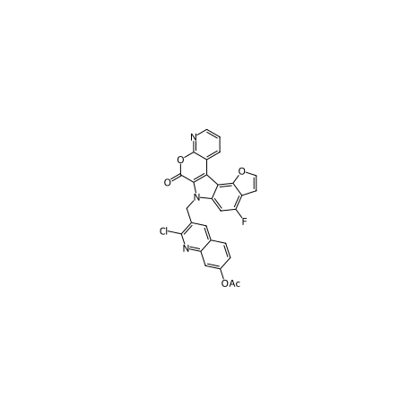 CC(=O)Oc1ccc2cc(Cn3c4cc(F)c5ccoc5c4c4c5cccnc5oc(=O)c43)c(Cl)nc2c1